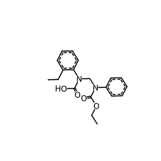 CCOC(=O)N(CN(C(=O)O)c1ccccc1CC)c1ccccc1